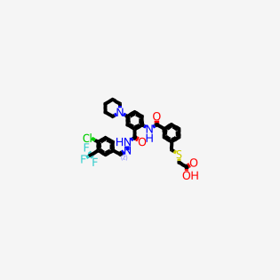 O=C(O)CSCc1cccc(C(=O)Nc2ccc(N3CCCCC3)cc2C(=O)N/N=C\c2ccc(Cl)c(C(F)(F)F)c2)c1